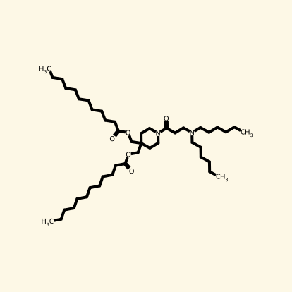 CCCCCCCCCCCC(=O)OCC1(COC(=O)CCCCCCCCCCC)CCN(C(=O)CCN(CCCCCC)CCCCCC)CC1